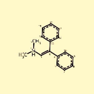 C[SiH](C)C=C(c1ccccc1)c1ccccc1